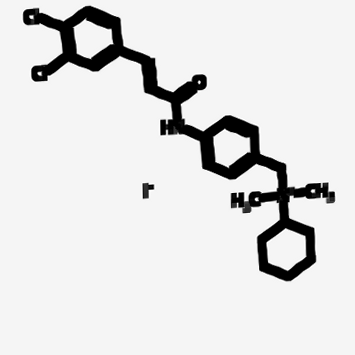 C[N+](C)(Cc1ccc(NC(=O)C=Cc2ccc(Cl)c(Cl)c2)cc1)C1CCCCC1.[I-]